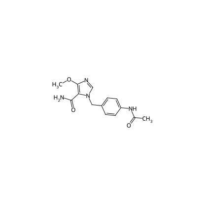 COc1ncn(Cc2ccc(NC(C)=O)cc2)c1C(N)=O